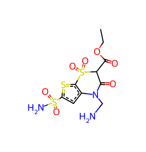 CCOC(=O)C1C(=O)N(CN)c2cc(S(N)(=O)=O)sc2S1(=O)=O